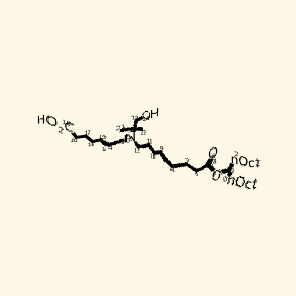 CCCCCCCCC(CCCCCCCC)OC(=O)CCCCCCCN(CCCCCC(=O)O)C(C)(C)CO